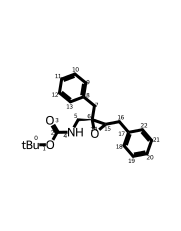 CC(C)(C)OC(=O)NC[C@]1(Cc2ccccc2)OC1Cc1ccccc1